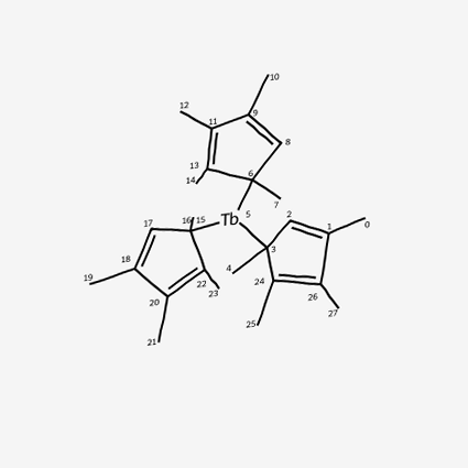 CC1=C[C](C)([Tb]([C]2(C)C=C(C)C(C)=C2C)[C]2(C)C=C(C)C(C)=C2C)C(C)=C1C